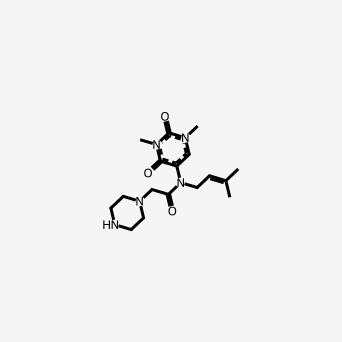 CC(C)=CCN(C(=O)CN1CCNCC1)c1cn(C)c(=O)n(C)c1=O